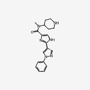 CN(C(=O)c1c[nH]c(-c2cnn(-c3ccccc3)c2)n1)C1CCNCC1